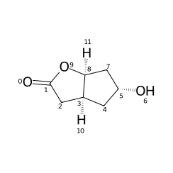 O=C1C[C@@H]2C[C@@H](O)C[C@@H]2O1